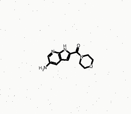 Nc1cnc2[nH]c(C(=O)N3CCOCC3)cc2c1